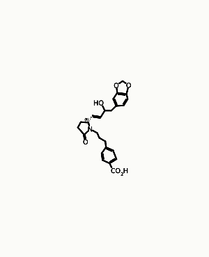 O=C(O)c1ccc(CCCN2C(=O)CC[C@@H]2C=CC(O)Cc2ccc3c(c2)OCO3)cc1